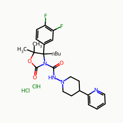 CCCCC1(c2ccc(F)c(F)c2)N(C(=O)NN2CCC(c3ccccn3)CC2)C(=O)OC1(C)C.Cl.Cl